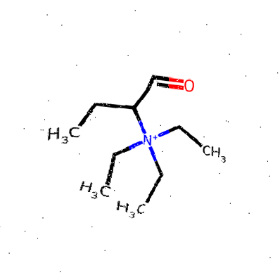 CCC(C=O)[N+](CC)(CC)CC